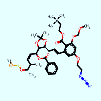 [3H]PSO[C@@H](C)[C@H](C)/C=C\C(OC(=O)c1ccccc1)C1OC(C)(C)O[C@H]1C/C=C/c1cc(OCCN=[N+]=[N-])cc(OCOC)c1C(=O)OCC[Si](C)(C)C